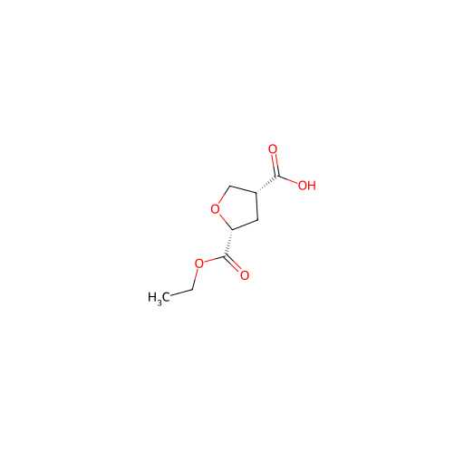 CCOC(=O)[C@H]1C[C@@H](C(=O)O)CO1